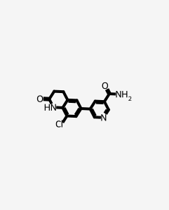 NC(=O)c1cncc(-c2cc(Cl)c3c(c2)CCC(=O)N3)c1